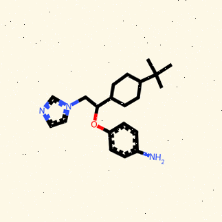 CC(C)(C)C1CCC(C(Cn2ccnc2)Oc2ccc(N)cc2)CC1